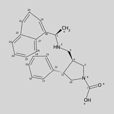 C[C@@H](NC[C@H]1CN(C(=O)O)C[C@@H]1c1ccccc1)c1cccc2ccccc12